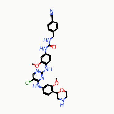 COc1cc(NC(=O)NCc2ccc(C#N)cc2)ccc1Nc1ncc(Cl)c(Nc2ccc(C3CNCCO3)c(OC)c2)n1